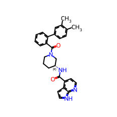 Cc1ccc(-c2ccccc2C(=O)N2CCC[C@@H](NC(=O)c3ccnc4[nH]ccc34)C2)cc1C